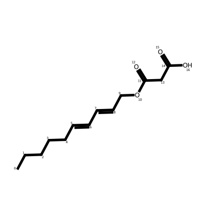 CCCCCC=CC=CCOC(=O)CC(=O)O